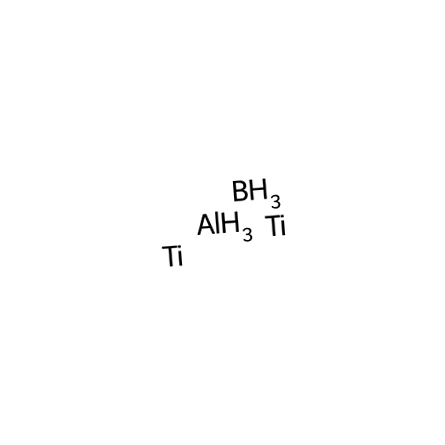 B.[AlH3].[Ti].[Ti]